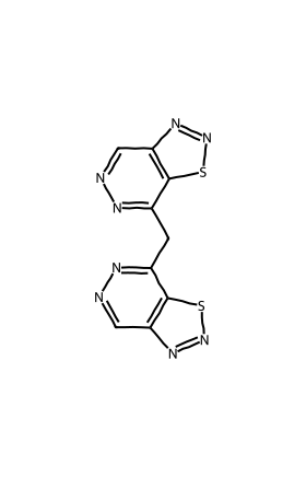 c1nnc(Cc2nncc3nnsc23)c2snnc12